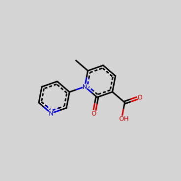 Cc1ccc(C(=O)O)c(=O)n1-c1cccnc1